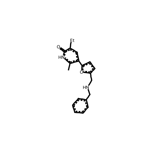 CCc1cc(-c2ccc(CNCc3ccccc3)o2)c(C)[nH]c1=O